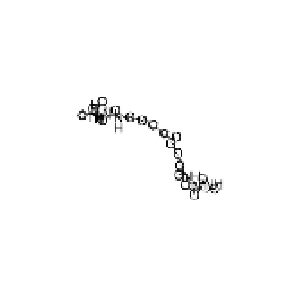 O=C(CN1Cc2ccccc2[C@@H]2OC(c3ccccc3)=N[C@@H]2C1=O)NCCOCCOCc1ccc(-c2ccc(C(=O)OCCOCCOCC(=O)Nc3cccc4c3CN(C3CCC(=O)NC3=O)C4=O)cc2)cc1